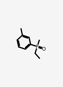 CCP(C)(=O)c1cccc(C)c1